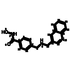 O=C(NO)c1ccc(CNCc2cnc3ccccc3c2)cc1